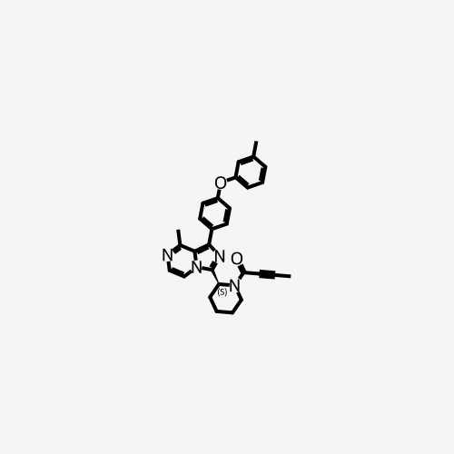 CC#CC(=O)N1CCCC[C@H]1c1nc(-c2ccc(Oc3cccc(C)c3)cc2)c2c(C)nccn12